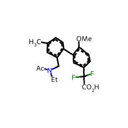 CCN(Cc1cc(C)ccc1-c1cc(C(F)(F)C(=O)O)ccc1OC)C(C)=O